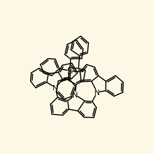 c1ccc(-c2ccc(-n3c4c(-n5c6ccccc6c6ccccc65)cccc4c4cccc(-n5c6ccccc6c6ccc([Si](c7ccccc7)(c7ccccc7)c7ccccc7)cc65)c43)cc2)cc1